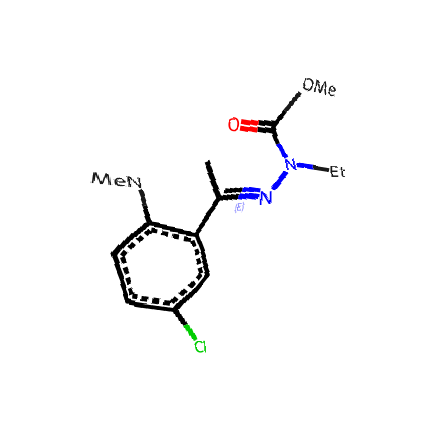 CCN(/N=C(\C)c1cc(Cl)ccc1NC)C(=O)OC